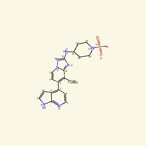 CC(C)COc1c(-c2ccnc3[nH]ccc23)ccn2nc(NC3CCN(S(C)(=O)=O)CC3)nc12